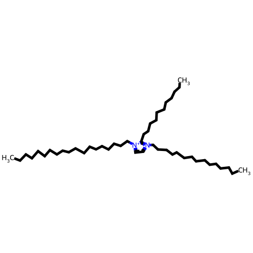 CCCCCCCCCCCCCCCCCCC[n+]1ccn(CCCCCCCCCCCCCCC)c1CCCCCCCCCCC